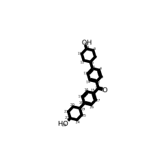 O=C(c1ccc(C2CCC(O)CC2)cc1)c1ccc(C2CCC(O)CC2)cc1